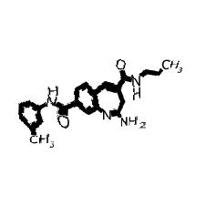 CCCNC(=O)C1=Cc2ccc(C(=O)Nc3cccc(C)c3)cc2N=C(N)C1